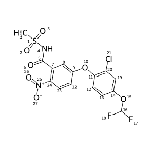 CS(=O)(=O)NC(=O)c1cc(Oc2ccc(OC(F)F)cc2Cl)ccc1[N+](=O)[O-]